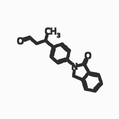 CC(CC=O)c1ccc(N2Cc3ccccc3C2=O)cc1